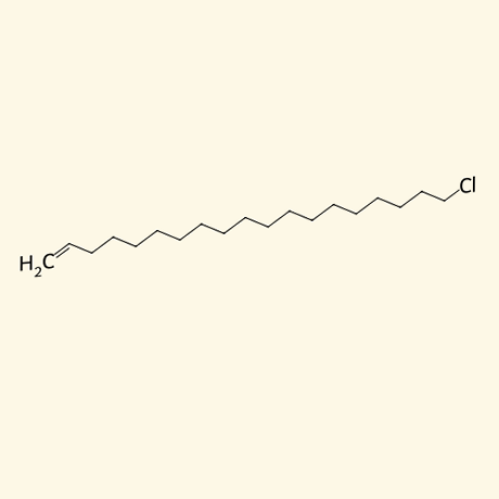 C=CCCCCCCCCCCCCCCCCCCl